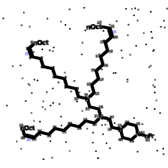 CCCCCCCC/C=C\CCCCCCCCN(CCCCCCCC/C=C\CCCCCCCC)CCN(CCCCCCCC/C=C\CCCCCCCC)CCN1CCN(CCC)CC1